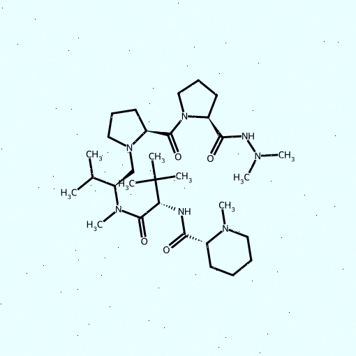 CC(C)[C@@H](CN1CCC[C@H]1C(=O)N1CCC[C@H]1C(=O)NN(C)C)N(C)C(=O)[C@@H](NC(=O)[C@H]1CCCCN1C)C(C)(C)C